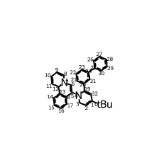 CC(C)(C)C1=CCN(C2=CN3C=CC=CC3c3ccccc32)C(c2cccc(-c3ccccc3)c2)=C1